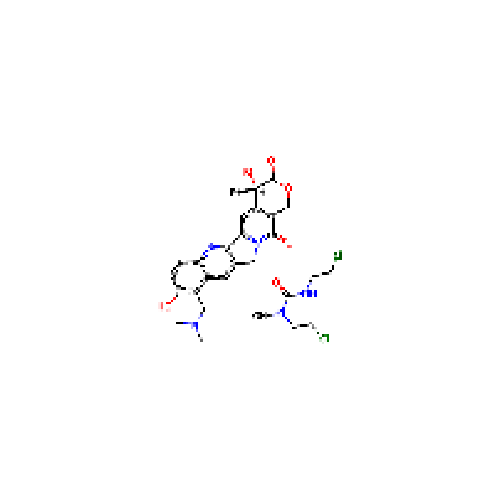 CC[C@@]1(O)C(=O)OCc2c1cc1n(c2=O)Cc2cc3c(CN(C)C)c(O)ccc3nc2-1.O=NN(CCCl)C(=O)NCCCl